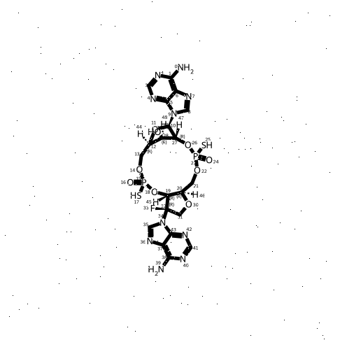 Nc1ncnc2c1ncn2[C@@H]1O[C@@H]2COP(=O)(S)O[C@@H]3[C@@H](COP(=O)(S)O[C@@H]1[C@@H]2O)OC[C@]3(F)n1cnc2c(N)ncnc21